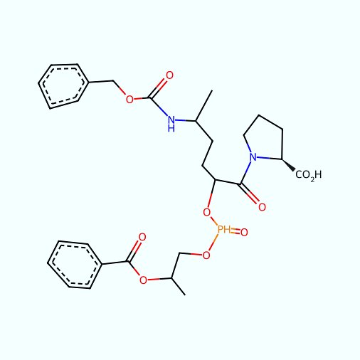 CC(CCC(O[PH](=O)OCC(C)OC(=O)c1ccccc1)C(=O)N1CCC[C@H]1C(=O)O)NC(=O)OCc1ccccc1